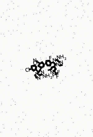 Cc1cc(-c2c(-c3ccccc3F)nc(N)c3nccn23)cc(C(F)(F)F)n1.N#Cc1cccc(-c2nc(N)c3nccn3c2-c2cc(Cl)cc(Cl)c2)c1